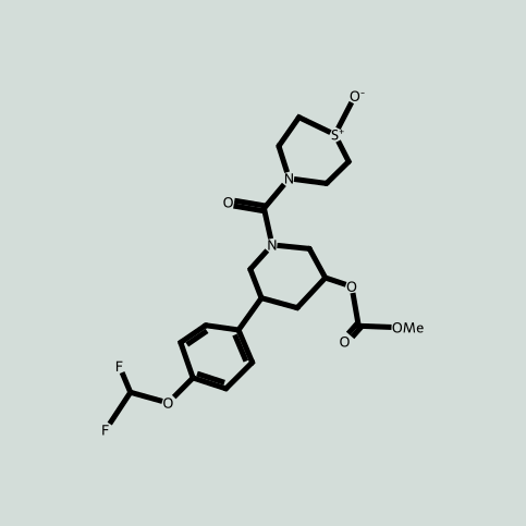 COC(=O)OC1CC(c2ccc(OC(F)F)cc2)CN(C(=O)N2CC[S+]([O-])CC2)C1